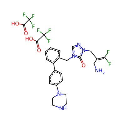 NCC(Cn1ncn(Cc2ccccc2-c2ccc(N3CCNCC3)cc2)c1=O)=C(F)F.O=C(O)C(F)(F)F.O=C(O)C(F)(F)F